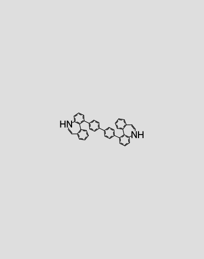 C1=Cc2ccccc2-c2c(cccc2-c2ccc(-c3ccc(-c4cccc5c4-c4ccccc4C=CN5)cc3)cc2)N1